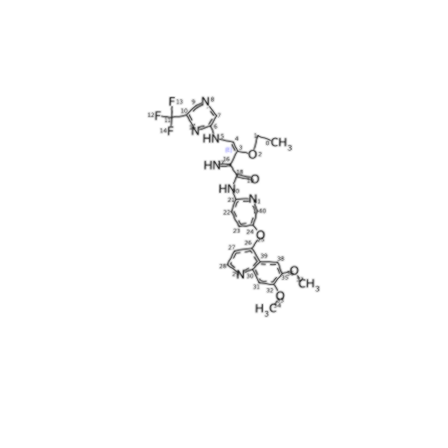 CCO/C(=C/Nc1cncc(C(F)(F)F)n1)C(=N)C(=O)Nc1ccc(Oc2ccnc3cc(OC)c(OC)cc23)cn1